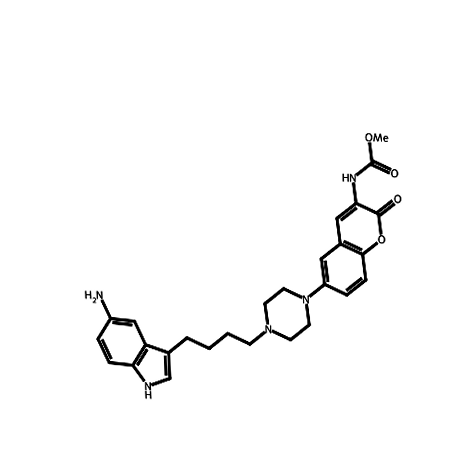 COC(=O)Nc1cc2cc(N3CCN(CCCCc4c[nH]c5ccc(N)cc45)CC3)ccc2oc1=O